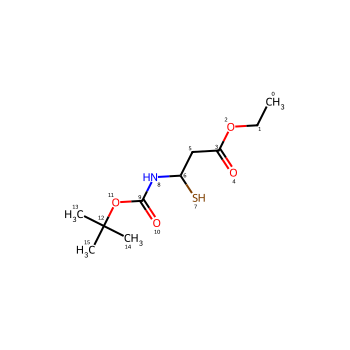 CCOC(=O)CC(S)NC(=O)OC(C)(C)C